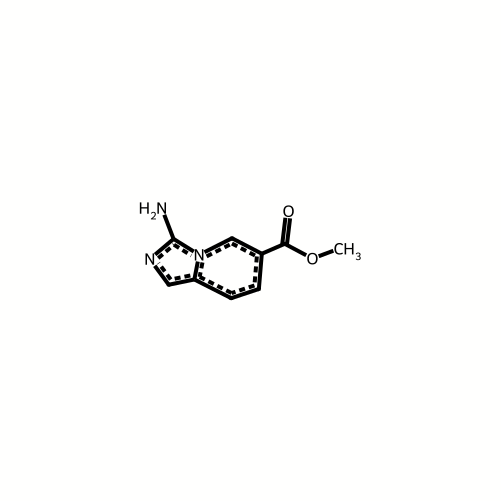 COC(=O)c1ccc2cnc(N)n2c1